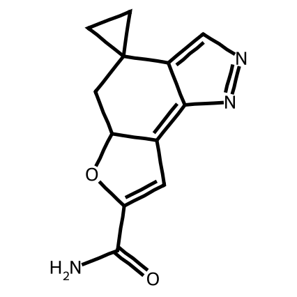 NC(=O)C1=CC2=C3N=NC=C3C3(CC3)CC2O1